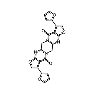 O=c1c2c(-c3ccco3)csc2nc2n1Cc1nc3scc(-c4ccco4)c3c(=O)n1C2